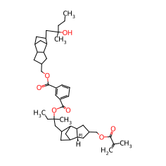 C=C(C)C(=O)OCC1CC2C3CC(CC3CC(C)(CC)OC(=O)c3cccc(C(=O)OCC4CC5C6CC(CC(C)(O)CCC)C(C6)C5C4)c3)[C@H]2C1